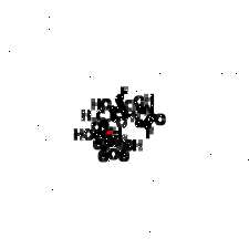 CC(C)(OP(=O)(O)OP(=O)(O)OP(=O)(O)O)[C@H]1O[C@@H](n2cc(F)c(=O)[nH]c2=O)[C@@](Cl)(CF)C1O